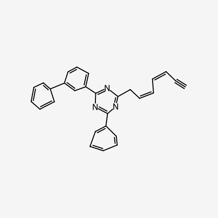 C#C/C=C\C=C/Cc1nc(-c2ccccc2)nc(-c2cccc(-c3ccccc3)c2)n1